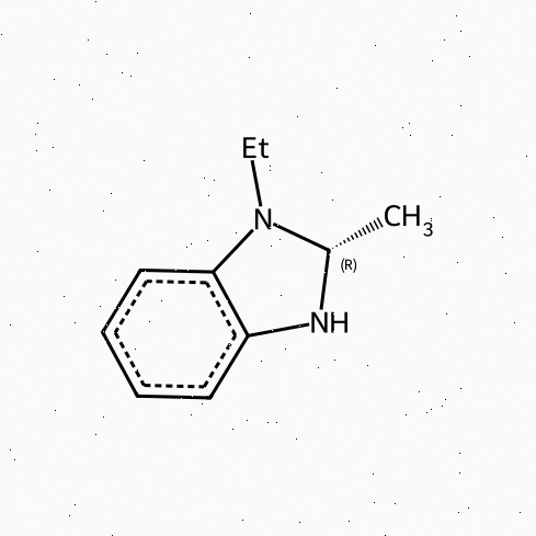 CCN1c2ccccc2N[C@H]1C